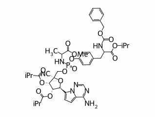 COC(=O)C(C)NP(=O)(OC[C@@]1(C#N)O[C@@H](c2ccc3c(N)ncnn23)[C@H](OC(=O)C(C)C)[C@@H]1OC(=O)C(C)C)Oc1ccc(CC(NC(=O)OCc2ccccc2)C(=O)OC(C)C)cc1